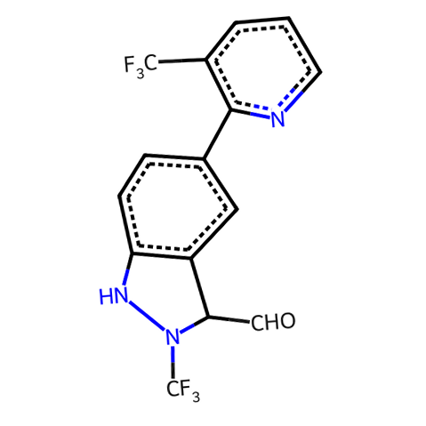 O=CC1c2cc(-c3ncccc3C(F)(F)F)ccc2NN1C(F)(F)F